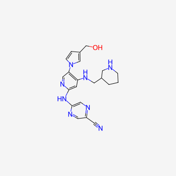 N#Cc1cnc(Nc2cc(NCC3CCCNC3)c(-n3ccc(CO)c3)cn2)cn1